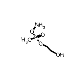 CP(=O)(ON)OCCO